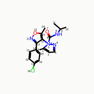 CC1=CC=N[N+]1(C(=O)NC(C)C)c1c(-c2ccc(Cl)cc2)noc1C